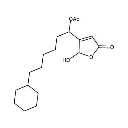 CC(=O)OC(CCCCCC1CCCCC1)C1=CC(=O)OC1O